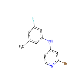 Fc1cc(Nc2ccnc(Br)c2)cc(C(F)(F)F)c1